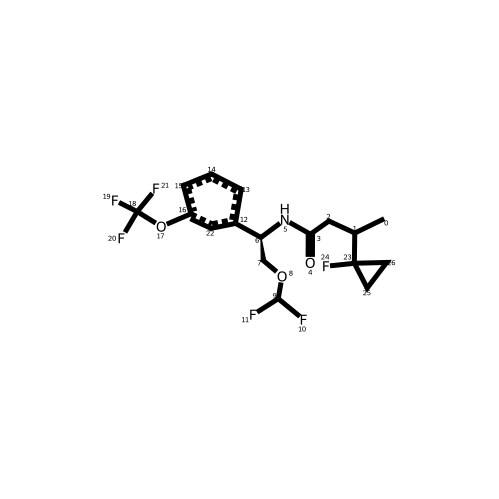 CC(CC(=O)N[C@@H](COC(F)F)c1cccc(OC(F)(F)F)c1)C1(F)CC1